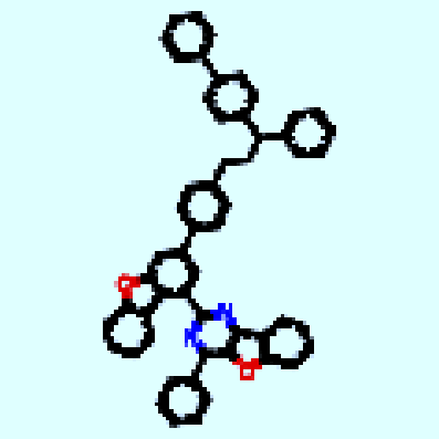 c1ccc(-c2ccc(C(CCc3ccc(-c4cc(-c5nc(-c6ccccc6)c6oc7ccccc7c6n5)c5c(c4)oc4ccccc45)cc3)c3ccccc3)cc2)cc1